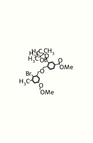 COCOc1cc(C)c(Br)c(COCc2ccc(C(=O)OC)cc2B2OC(C)(C)C(C)(C)O2)c1